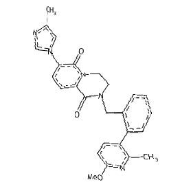 COc1ccc(-c2ccccc2CN2CCn3c(ccc(-n4cnc(C)c4)c3=O)C2=O)c(C)n1